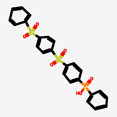 O=P(O)(c1ccccc1)c1ccc(S(=O)(=O)c2ccc(S(=O)(=O)c3ccccc3)cc2)cc1